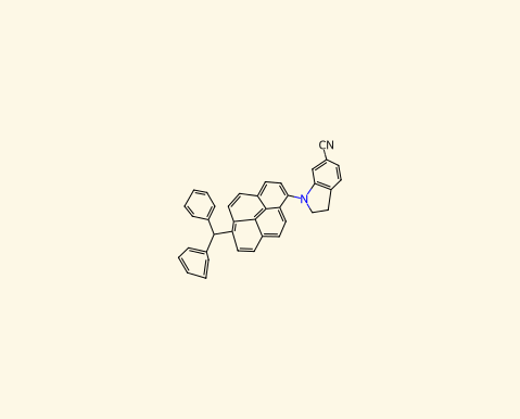 N#Cc1ccc2c(c1)N(c1ccc3ccc4c(C(c5ccccc5)c5ccccc5)ccc5ccc1c3c54)CC2